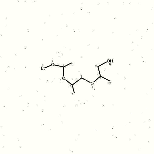 [CH2]C(OCC)OC(C)COC(C)CO